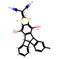 Cc1ccc2c(c1)C1c3c(O)c4c(c(O)c3C3c5ccccc5C231)SC(=C(C#N)C#N)S4